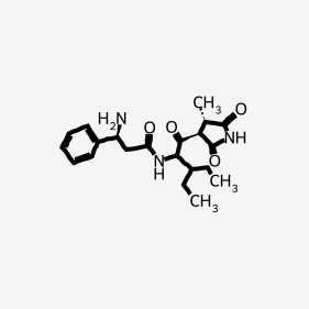 CCC(CC)C(NC(=O)C[C@H](N)c1ccccc1)C(=O)[C@@H]1C(=O)NC(=O)[C@H]1C